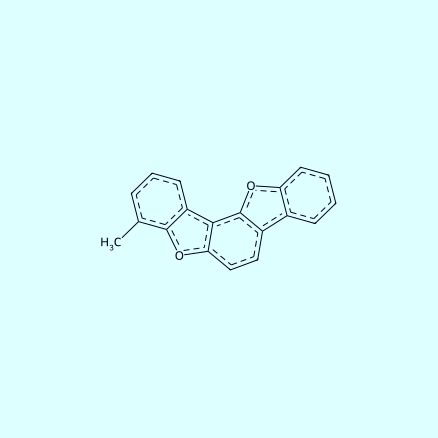 Cc1cccc2c1oc1ccc3c4ccccc4oc3c12